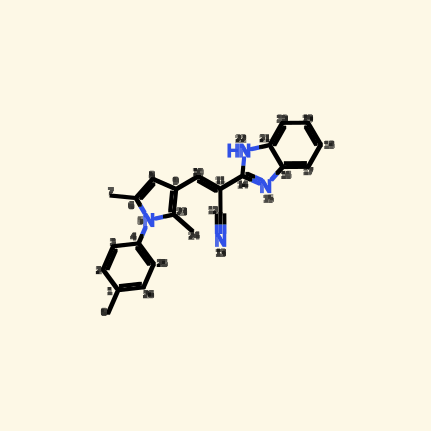 Cc1ccc(-n2c(C)cc(C=C(C#N)c3nc4ccccc4[nH]3)c2C)cc1